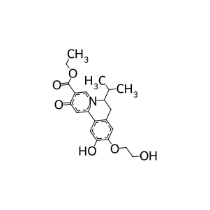 CCOC(=O)c1cn2c(cc1=O)-c1cc(O)c(OCCO)cc1CC2C(C)C